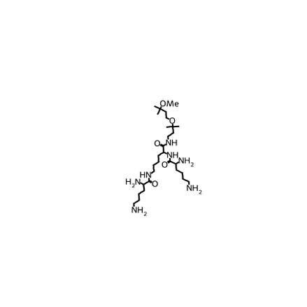 COC(C)(C)CCOC(C)(C)CCNC(=O)C(CCCCNC(=O)C(N)CCCCN)NC(=O)C(N)CCCCN